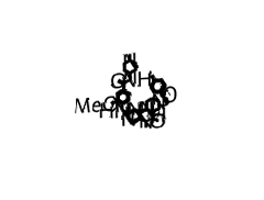 C=S(=O)(c1ccc(C)cc1)N1CCN2c3nc(Nc4ccc(C(=O)NC5CCN(C)CC5)cc4OC)ncc3N(C)C(=O)[C@H]2C1